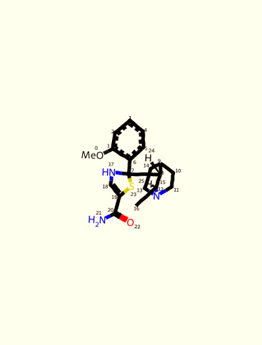 COc1ccccc1C1([C@@H]2C3CCN(CC3)[C@H]2C)NC=C(C(N)=O)S1